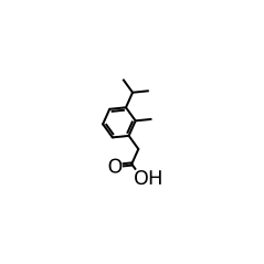 Cc1c(CC(=O)O)cccc1C(C)C